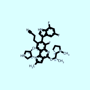 Cc1cc2c(O[C@@H](C)[C@@H]3CCCN3C)nc3c(F)c(-c4c[nH]c5c(F)cc(F)cc45)c(CCC#N)cc3c2n1[C@@H]1CNC[C@H]1C